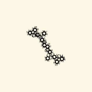 CC1(c2ccc(N(c3ccccc3)c3ccc4c(c3)sc3c4ccc4c3ccc3c5ccc(N(c6ccccc6)c6ccc(C7(C)c8ccccc8-c8ccccc87)cc6)cc5sc34)cc2)c2ccccc2-c2ccccc21